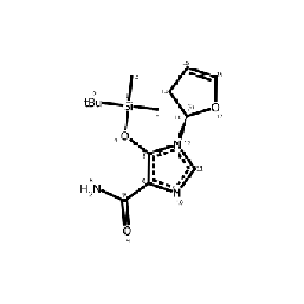 CC(C)(C)[Si](C)(C)Oc1c(C(N)=O)ncn1[C@H]1CC=CO1